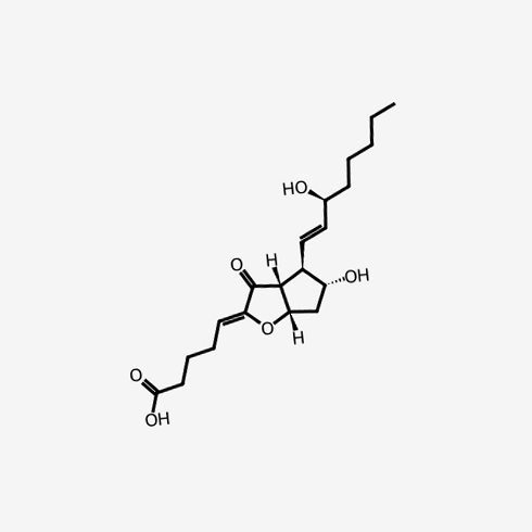 CCCCC[C@H](O)/C=C/[C@@H]1[C@H]2C(=O)/C(=C/CCCC(=O)O)O[C@H]2C[C@H]1O